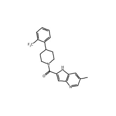 Cc1cnc2cc(C(=O)N3CCC(c4ccccc4C(F)(F)F)CC3)[nH]c2c1